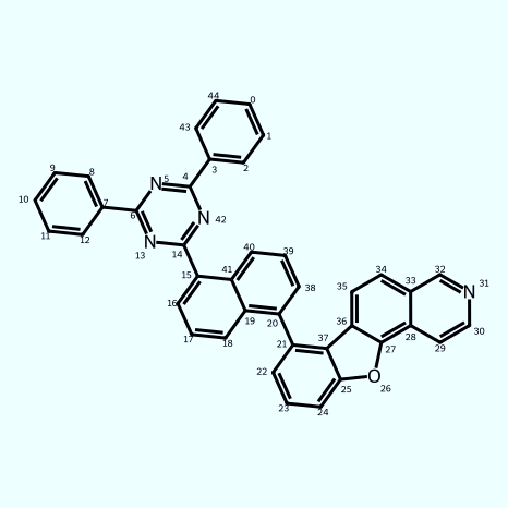 c1ccc(-c2nc(-c3ccccc3)nc(-c3cccc4c(-c5cccc6oc7c8ccncc8ccc7c56)cccc34)n2)cc1